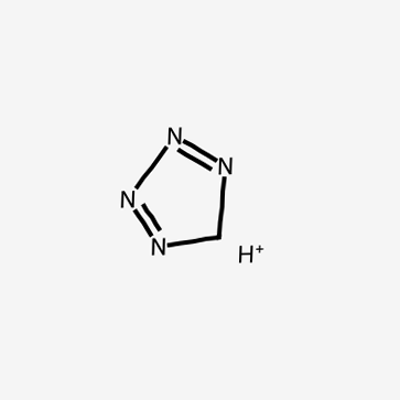 C1N=NN=N1.[H+]